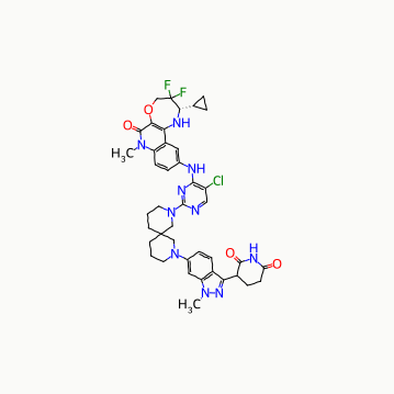 Cn1nc(C2CCC(=O)NC2=O)c2ccc(N3CCCC4(CCCN(c5ncc(Cl)c(Nc6ccc7c(c6)c6c(c(=O)n7C)OCC(F)(F)[C@H](C7CC7)N6)n5)C4)C3)cc21